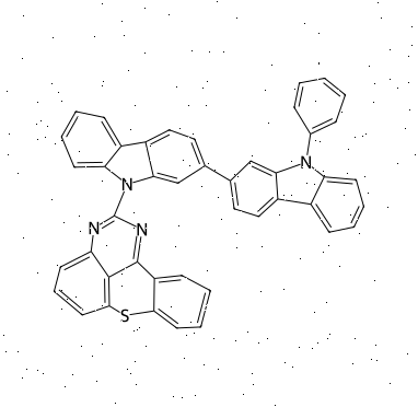 c1ccc(-n2c3ccccc3c3ccc(-c4ccc5c6ccccc6n(-c6nc7c8c(cccc8n6)Sc6ccccc6-7)c5c4)cc32)cc1